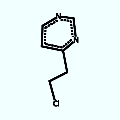 ClCCc1ccncn1